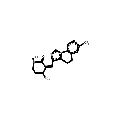 CC(C)(C)C1CCN(C(=O)O)C(=O)C1=Cc1ncn2c1CCc1cc(C(F)(F)F)ccc1-2